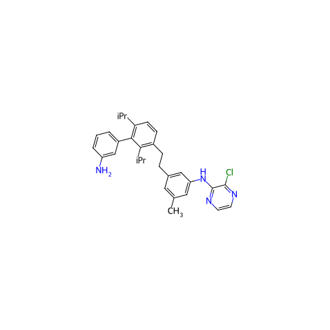 Cc1cc(CCc2ccc(C(C)C)c(-c3cccc(N)c3)c2C(C)C)cc(Nc2nccnc2Cl)c1